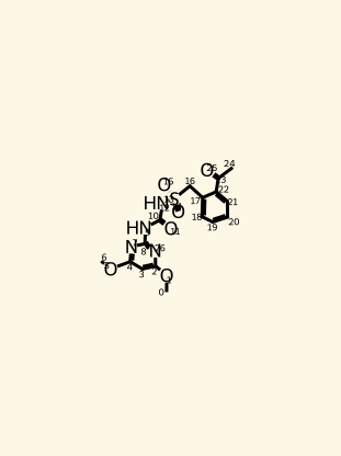 COc1cc(OC)nc(NC(=O)NS(=O)(=O)Cc2ccccc2C(C)=O)n1